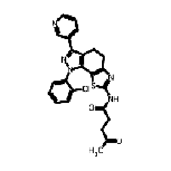 CC(=O)CCC(=O)Nc1nc2c(s1)-c1c(c(-c3cccnc3)nn1-c1ccccc1Cl)CC2